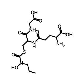 CCCN(O)C(=O)SCC(NC(=O)CCC(N)C(=O)O)C(=O)NCC(=O)O